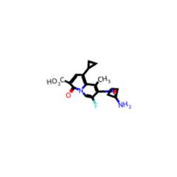 Cc1c(N2CC3(N)CC2C3)c(F)cn2c(=O)c(C(=O)O)cc(C3CC3)c12